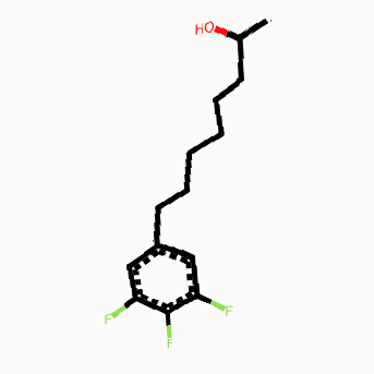 [CH2]C(O)CCCCCCc1cc(F)c(F)c(F)c1